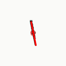 CCCCCCCCCCCCCCCCCC(=O)C(=O)C(=O)CCCCCCCCCCCCCCCCC